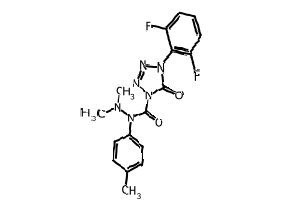 Cc1ccc(N(C(=O)n2nnn(-c3c(F)cccc3F)c2=O)N(C)C)cc1